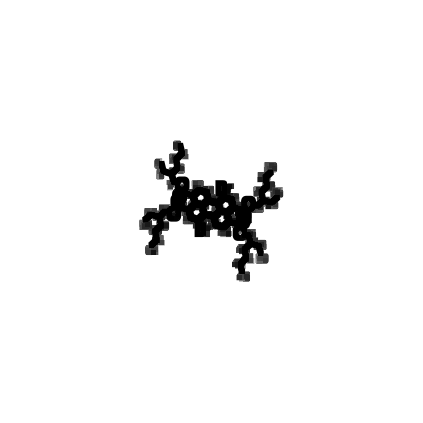 CCCCC(CC)COC(=O)c1ccc2c3c(Br)cc(C(=O)OCC(CC)CCCC)c4c(C(=O)OCC(CC)CCCC)ccc(c5c(Br)cc(C(=O)OCC(CC)CCCC)c1c25)c43